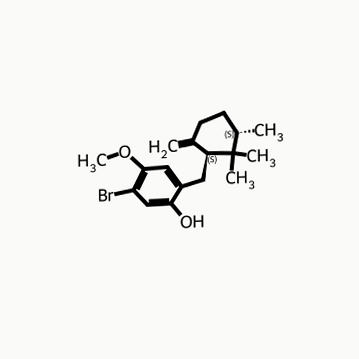 C=C1CC[C@H](C)C(C)(C)[C@H]1Cc1cc(OC)c(Br)cc1O